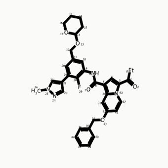 CCC(=O)c1cc(C(=O)Nc2cc(COC3CCCCO3)cc(-c3cnn(C)c3)c2F)c2cc(OCc3ccccc3)ccn12